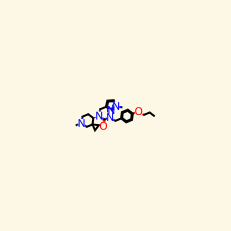 CCCOc1ccc(CNC(=O)N(Cc2ccn(C)n2)[C@H]2CCN(C)CC23CC3)cc1